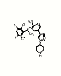 CC(Sc1cc(-c2cnn(C3CCNCC3)c2)cnc1N)c1c(Cl)c(F)cc(F)c1Cl